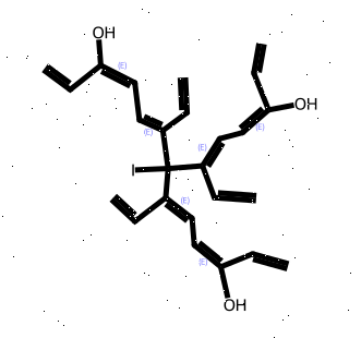 C=C/C(O)=C\C=C(/C=C)C(I)(/C(C=C)=C/C=C(/O)C=C)/C(C=C)=C/C=C(/O)C=C